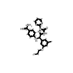 Cc1cc(OCCF)cc(C(Nc2ccc(C(=N)N)cc2)c2nn(-c3ncccn3)c(=O)[nH]2)c1